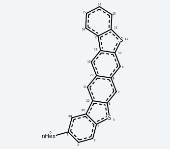 CCCCCCc1ccc2sc3cc4cc5sc6ccccc6c5cc4cc3c2c1